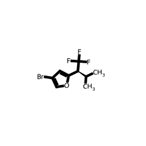 CC(C)[C@@H](c1cc(Br)co1)C(F)(F)F